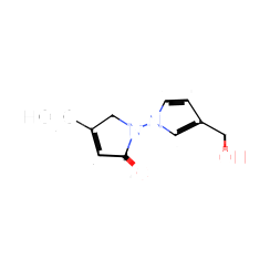 O=C(O)C1=CC(=O)N(n2ccc(CO)c2)C1